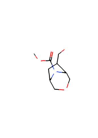 CC(C)(C)OC(=O)N1C2COCC1C(CO)C2